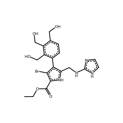 CCOC(=O)c1[nH]c(CNc2ncc[nH]2)c(-c2ccc(CO)c(CO)c2CO)c1Br